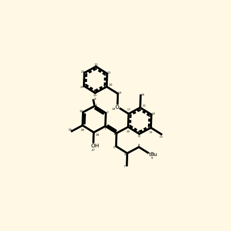 CC1=CC(=C(CC(C)CC(C)(C)C)c2cc(C)cc(C)c2OCc2ccccc2)C(O)C(C)=C1